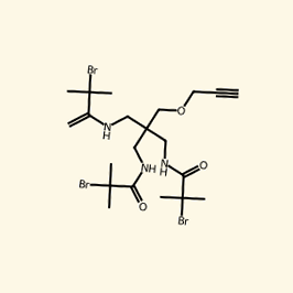 C#CCOCC(CNC(=C)C(C)(C)Br)(CNC(=O)C(C)(C)Br)CNC(=O)C(C)(C)Br